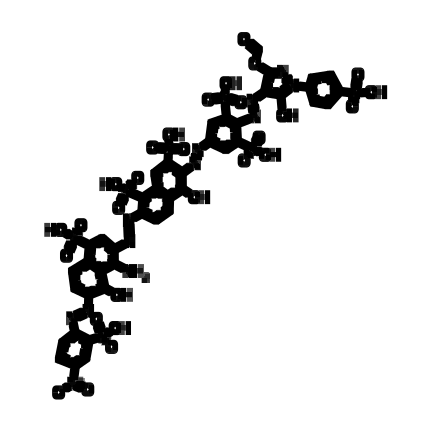 Nc1c(N=Nc2ccc3c(O)c(N=Nc4cc(S(=O)(=O)O)c(N=Nc5c(OC=O)nn(-c6ccc(S(=O)(=O)O)cc6)c5O)c(S(=O)(=O)O)c4)c(S(=O)(=O)O)cc3c2S(=O)(=O)O)cc(S(=O)(=O)O)c2ccc(N=Nc3ccc([N+](=O)[O-])cc3S(=O)(=O)O)c(O)c12